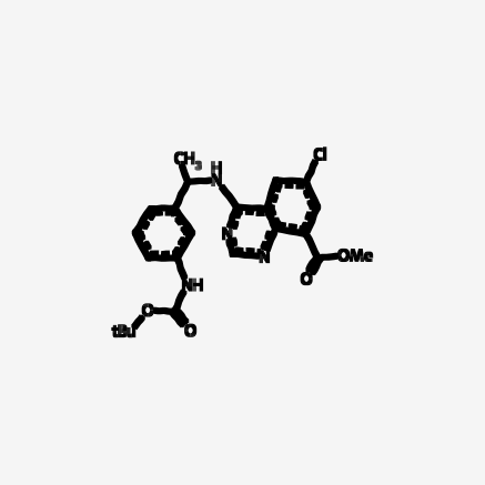 COC(=O)c1cc(Cl)cc2c(NC(C)c3cccc(NC(=O)OC(C)(C)C)c3)ncnc12